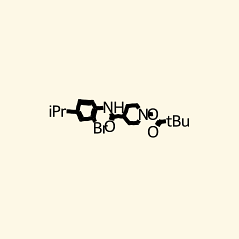 CC(C)c1ccc(NC(=O)C2CCN(OC(=O)C(C)(C)C)CC2)c(Br)c1